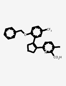 Cc1ccc(C2=C(c3cc(C(F)(F)F)ccc3OCc3ccccc3)CCC2)nc1C(=O)O